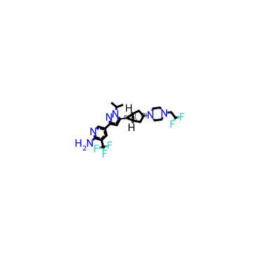 CC(C)n1nc(-c2cnc(N)c(C(F)(F)F)c2)cc1[C@H]1[C@@H]2C[C@H](N3CCN(CC(F)F)CC3)C[C@@H]21